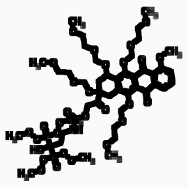 COCCOCOc1c2c(c(OCOCCOC)c3c1C(=O)c1cccc(OC)c1C3=O)C(OCOCCOC)CC(OCOCCOC)(C(=O)COC(=O)NCCC(O)(P(=O)(OOC)OOC)P(=O)(OOC)OOC)C2